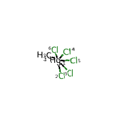 [CH3][Hg]([Cl])([Cl])([Cl])([Cl])[Cl]